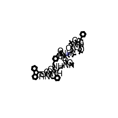 C/C(=C\[C@H](C(C)C)N(C)C(=O)[C@@H](NC(=O)[C@@H](N(C)C(=O)OC(C)(C)C)C(C)(C)c1ccccc1)C(C)(C)C)C(=O)NS(=O)(=O)Cc1ccc(CNC(=O)[C@@H](CCCCNC(=O)OC(C)(C)C)NC(=O)[C@@H](Cc2ccccc2)NC(=O)OCC2c3ccccc3-c3ccccc32)cc1